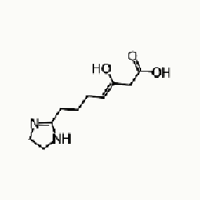 O=C(O)CC(O)=CCCCC1=NCCN1